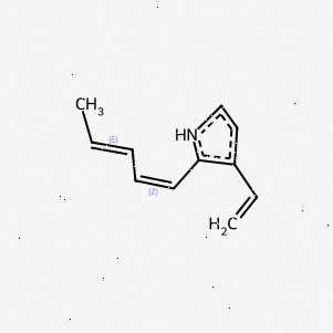 C=Cc1cc[nH]c1/C=C\C=C\C